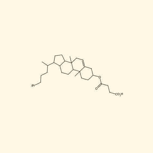 CC(C)CCCC(C)C1CCC2C1CCC1C3(C)CCC(OC(=O)CCC(=O)O)CC3=CCC21C